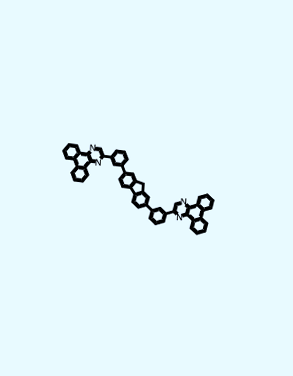 c1cc(-c2ccc3c(c2)Cc2cc(-c4cccc(-c5cnc6c7ccccc7c7ccccc7c6n5)c4)ccc2-3)cc(-c2cnc3c4ccccc4c4ccccc4c3n2)c1